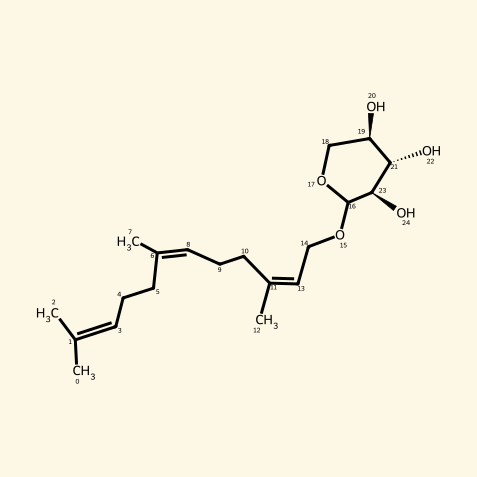 CC(C)=CCCC(C)=CCCC(C)=CCOC1OC[C@@H](O)[C@H](O)[C@H]1O